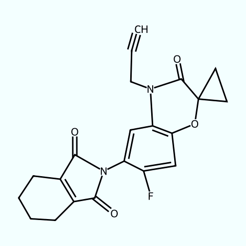 C#CCN1C(=O)C2(CC2)Oc2cc(F)c(N3C(=O)C4=C(CCCC4)C3=O)cc21